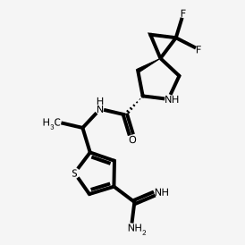 CC(NC(=O)[C@@H]1C[C@@]2(CN1)CC2(F)F)c1cc(C(=N)N)cs1